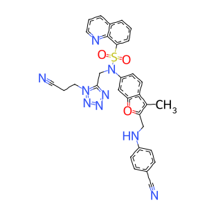 Cc1c(CNc2ccc(C#N)cc2)oc2cc(N(Cc3nnnn3CCC#N)S(=O)(=O)c3cccc4cccnc34)ccc12